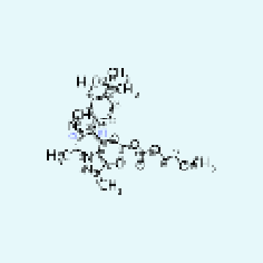 CCn1nc(C)c(Cl)c1/C(OCOC(=O)OCCOC)=C(\C=N/C)c1ccc(C(C)(C)C)cc1